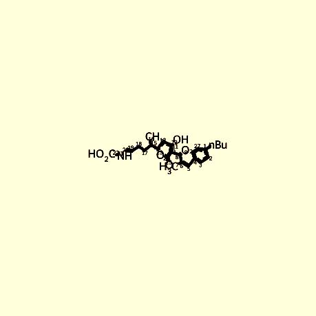 CCCCc1ccc(C=C(C)C(=O)c2c(O)cc(C(C)CCC=CNC(=O)O)oc2=O)cc1